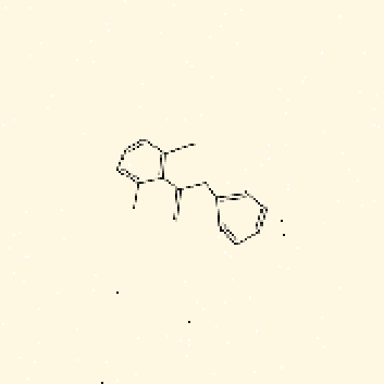 C=C(Cc1ccccc1)c1c(C)cccc1C